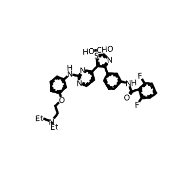 CCN(CC)CCOc1cccc(Nc2nccc(-c3scnc3-c3cccc(NC(=O)c4c(F)cccc4F)c3)n2)c1.O=CO